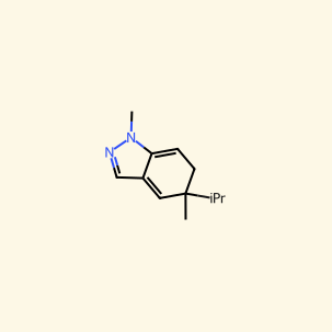 CC(C)C1(C)C=c2cnn(C)c2=CC1